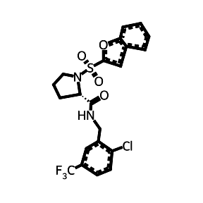 O=C(NCc1cc(C(F)(F)F)ccc1Cl)[C@@H]1CCCN1S(=O)(=O)c1cc2ccccc2o1